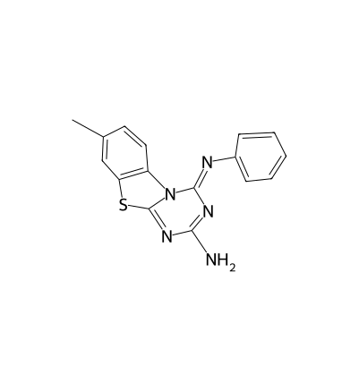 Cc1ccc2c(c1)sc1nc(N)n/c(=N\c3ccccc3)n12